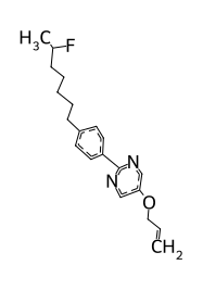 C=CCOc1cnc(-c2ccc(CCCCCC(C)F)cc2)nc1